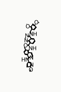 COc1ccc(CNc2ncnc3c(C(=O)Nc4c(C)ccc5c(Nc6ccc(OC)nc6)nccc45)cccc23)c(OC)c1